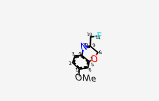 COc1ccc2c(c1)OCC(CF)=N2